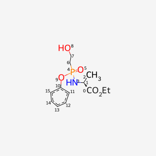 CCOC(=O)[C@H](C)NP(=O)(CCO)Oc1ccccc1